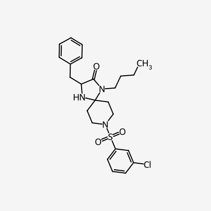 CCCCN1C(=O)C(Cc2ccccc2)NC12CCN(S(=O)(=O)c1cccc(Cl)c1)CC2